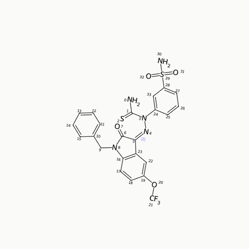 NC(=S)N(/N=C1\C(=O)N(Cc2ccccc2)c2ccc(OC(F)(F)F)cc21)c1cccc(S(N)(=O)=O)c1